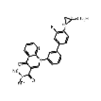 CCCN(C#N)C(=O)c1cn(-c2cccc(-c3ccc([C@@H]4C[C@H]4C(=O)O)c(F)c3)c2)c2ncccc2c1=O